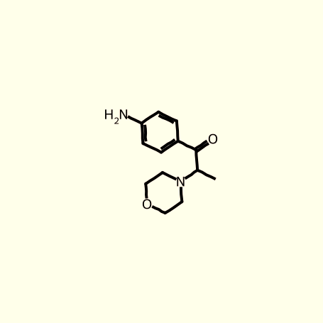 CC(C(=O)c1ccc(N)cc1)N1CCOCC1